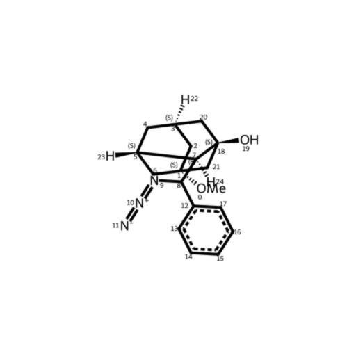 CO[C@@]12C[C@H]3C[C@@H](C1)[C@H](C(N=[N+]=[N-])c1ccccc1)[C@](O)(C3)C2